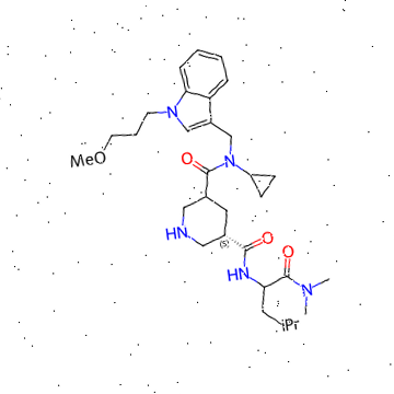 COCCCn1cc(CN(C(=O)C2CNC[C@@H](C(=O)NC(CC(C)C)C(=O)N(C)C)C2)C2CC2)c2ccccc21